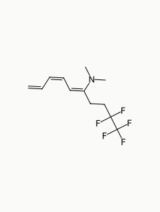 C=C/C=C\C=C(\CCC(F)(F)C(F)(F)F)N(C)C